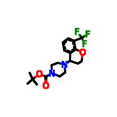 CC(C)(C)OC(=O)N1CCN(C2CCOc3c2cccc3C(F)(F)F)CC1